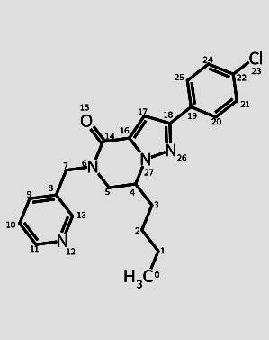 CCCCC1CN(Cc2cccnc2)C(=O)c2cc(-c3ccc(Cl)cc3)nn21